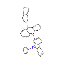 c1ccc(-n2c3ccccc3c3ccc(-c4c5ccccc5c(-c5ccc6ccccc6c5)c5ccccc45)cc32)cc1